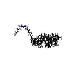 CCCCC/C=C\C/C=C\CCCCCCCCOP(=O)(O)Oc1c(OC)cc([C@@H]2c3cc4c(cc3[C@@H](O[C@@H]3O[C@@H]5CO[C@@H](C)O[C@H]5[C@H](O)[C@H]3O)[C@H]3COC(=O)[C@H]23)OCO4)cc1OC